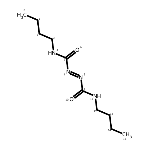 CCCCNC(=O)N=NC(=O)NCCCC